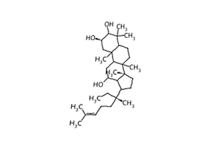 CC[C@@](C)(CCC=C(C)C)C1CC[C@]2(C)C1C(O)CC1C3(C)C[C@@H](O)C(O)C(C)(C)C3CCC12C